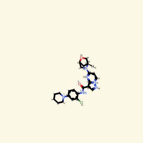 O=C(Nc1ccc(N2CCCCC2)cc1Cl)c1cnn2ccc(N3CC4C[C@@H]3CO4)nc12